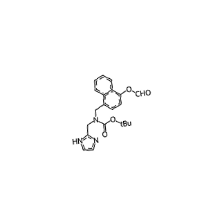 CC(C)(C)OC(=O)N(Cc1ncc[nH]1)Cc1ccc(OC=O)c2ccccc12